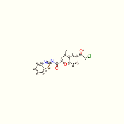 CC(C)c1cc(C(=O)CCl)ccc1OCC(=O)Nc1nc2ccccc2s1